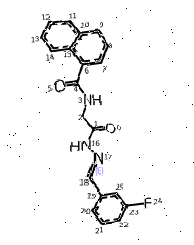 O=C(CNC(=O)c1cccc2ccccc12)N/N=C/c1cccc(F)c1